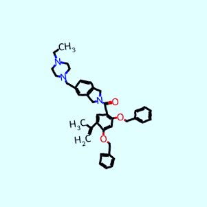 C=C(C)c1cc(C(=O)N2Cc3ccc(CN4CCN(CC)CC4)cc3C2)c(OCc2ccccc2)cc1OCc1ccccc1